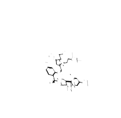 CCCN1C(COc2cc(F)ccc2C(=O)N2Cc3nn4cc(Cl)cnc4c3C2)CC(O)C1CC